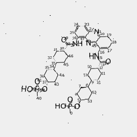 CP(=O)(O)O[C@H]1CC[C@@H]([C@H]2CC[C@@H](C(=O)NC3=CCCc4nc5cccc(NC(=O)[C@H]6CC[C@@H]([C@H]7CC[C@@H](OP(C)(=O)O)CC7)CC6)c5nc43)CC2)CC1